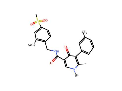 COc1cc(S(C)(=O)=O)ccc1CNC(=O)c1cn(C(C)C)c(C)c(-c2cccc(C(F)(F)F)c2)c1=O